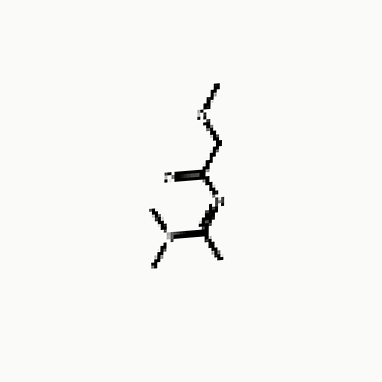 COCC(=O)/N=C(/C)N(C)C